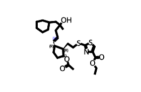 CCOC(=O)c1csc(SCC[C@H]2[C@@H](OC(C)=O)CC[C@@H]2/C=C/CC(C)(O)CC2CCCCC2)n1